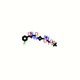 C[C@@H](O[Si](C)(C)C(C)(C)C)c1nnc(C2CC(NC(=O)c3cc(-c4cccc(F)c4)on3)C2)o1